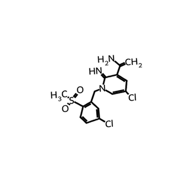 C=C(N)c1cc(Cl)cn(Cc2cc(Cl)ccc2S(C)(=O)=O)c1=N